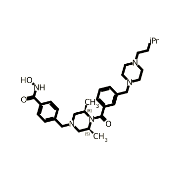 CC(C)CCN1CCN(Cc2cccc(C(=O)N3[C@H](C)CN(Cc4ccc(C(=O)NO)cc4)C[C@@H]3C)c2)CC1